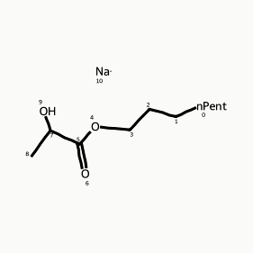 CCCCCCCCOC(=O)C(C)O.[Na]